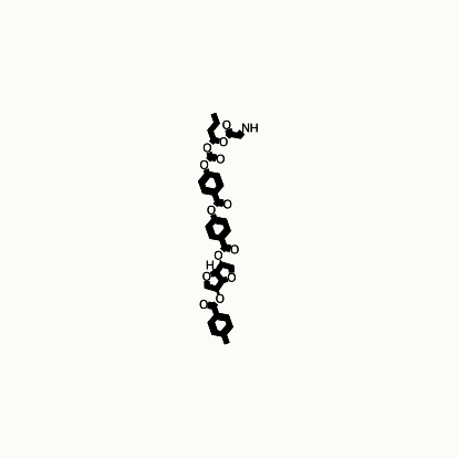 CCCC(OC(=O)C=N)OC(=O)Oc1ccc(C(=O)Oc2ccc(C(=O)O[C@@H]3COC4[C@@H](OC(=O)c5ccc(C)cc5)CO[C@@H]43)cc2)cc1